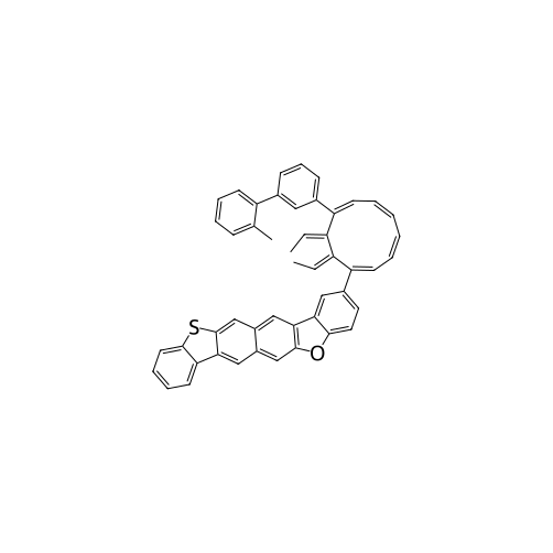 C/C=c1/c(-c2cccc(-c3ccccc3C)c2)ccccccc(-c2ccc3oc4cc5cc6c(cc5cc4c3c2)sc2ccccc26)/c1=C/C